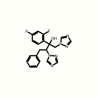 OC(Cn1cncn1)(c1ccc(F)cc1F)C(Cc1ccccc1)n1cncn1